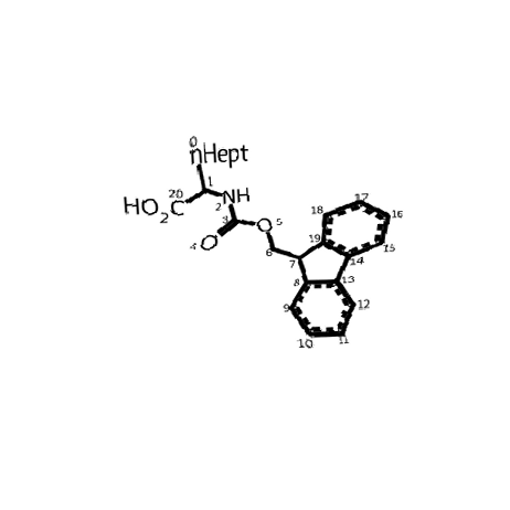 CCCCCCCC(NC(=O)OCC1c2ccccc2-c2ccccc21)C(=O)O